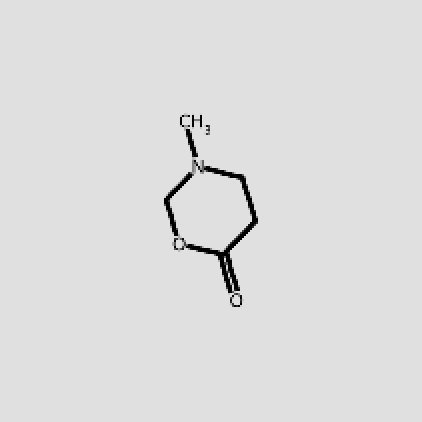 CN1CCC(=O)OC1